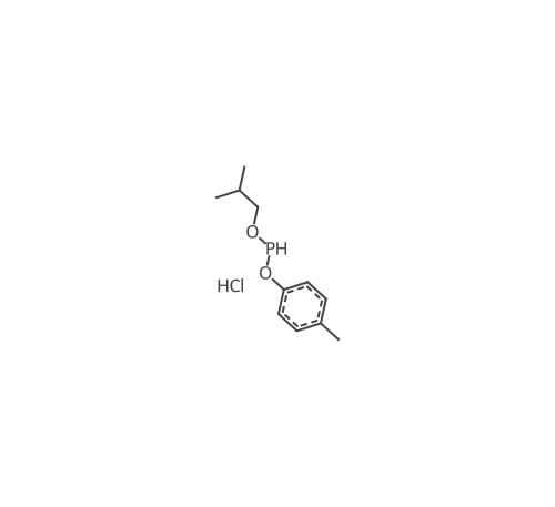 Cc1ccc(OPOCC(C)C)cc1.Cl